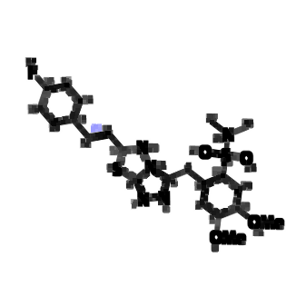 COc1cc(Cc2nnc3sc(/C=C/c4ccc(F)cc4)nn23)c(S(=O)(=O)N(C)C)cc1OC